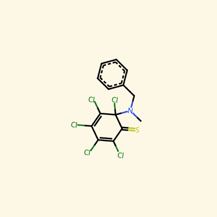 CN(Cc1ccccc1)C1(Cl)C(=S)C(Cl)=C(Cl)C(Cl)=C1Cl